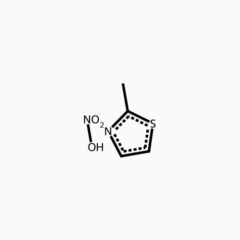 Cc1nccs1.O=[N+]([O-])O